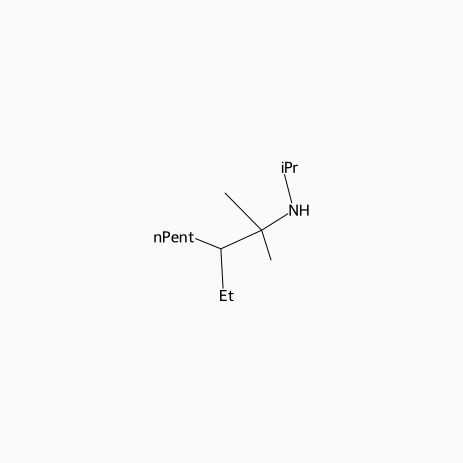 CCCCCC(CC)C(C)(C)NC(C)C